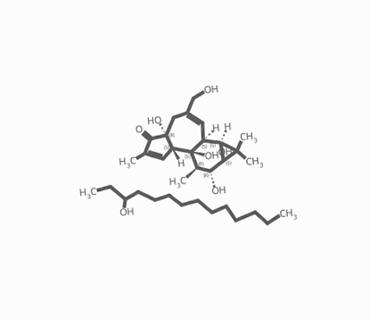 CC1=C[C@H]2[C@@]3(O)[C@H](C)[C@@H](O)[C@]4(O)[C@@H]([C@@H]3C=C(CO)C[C@]2(O)C1=O)C4(C)C.CCCCCCCCCCCC(O)CC